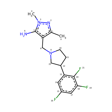 Cc1nn(C)c(N)c1CN1CCC(c2cc(F)cc(F)c2F)C1